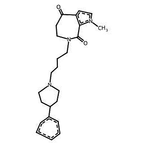 Cn1ccc2c1C(=O)N(CCCCN1CCC(c3ccccc3)CC1)CCC2=O